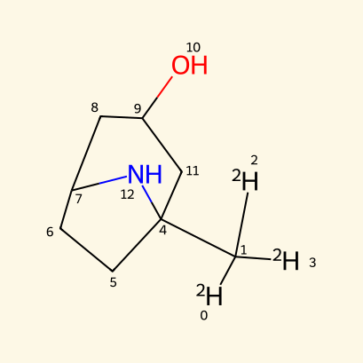 [2H]C([2H])([2H])C12CCC(CC(O)C1)N2